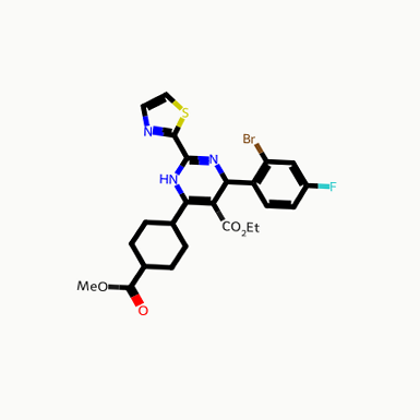 CCOC(=O)C1=C(C2CCC(C(=O)OC)CC2)NC(c2nccs2)=NC1c1ccc(F)cc1Br